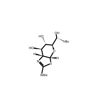 CCCC[C@@H](O)[C@H]1O[C@@H]2SC(NC)=N[C@@H]2[C@@H](O)[C@@H]1O